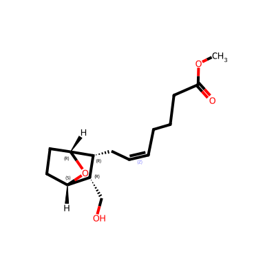 COC(=O)CCC/C=C\C[C@@H]1[C@H](CO)[C@@H]2CC[C@H]1O2